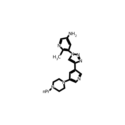 CCCN1CCN(c2cncc(-c3cn(-c4cc(N)cnc4C)nn3)c2)CC1